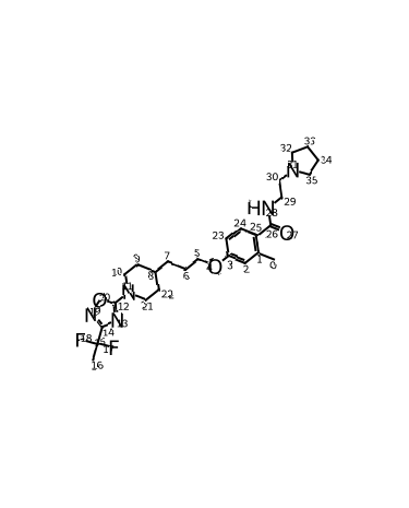 Cc1cc(OCCCC2CCN(c3nc(C(C)(F)F)no3)CC2)ccc1C(=O)NCCN1CCCC1